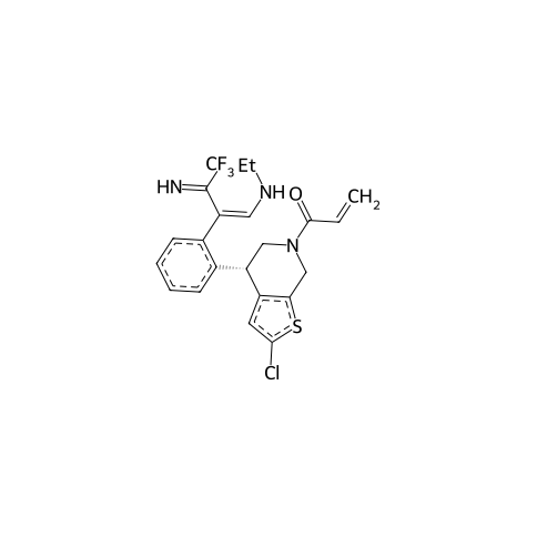 C=CC(=O)N1Cc2sc(Cl)cc2[C@H](c2ccccc2/C(=C/NCC)C(=N)C(F)(F)F)C1